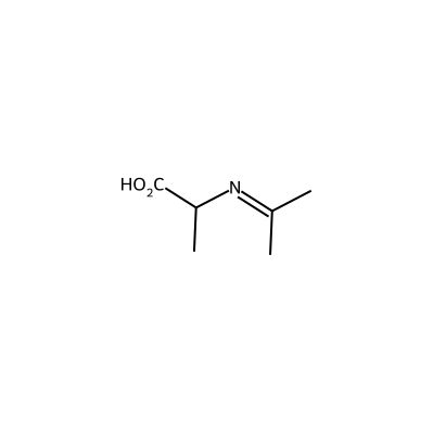 CC(C)=NC(C)C(=O)O